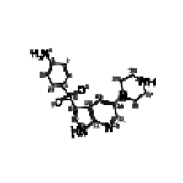 Nc1ccc(S(=O)(=O)c2c[nH]c3ncc(N4CCNCC4)cc23)cc1